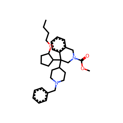 CCCCOC1CCCC1C1(C2CCN(Cc3ccccc3)CC2)CN(C(=O)OC)Cc2ccccc21